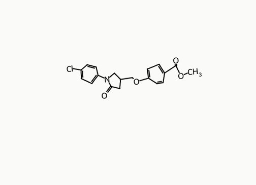 COC(=O)c1ccc(OCC2CC(=O)N(c3ccc(Cl)cc3)C2)cc1